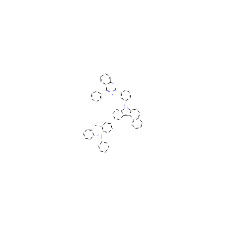 CC1(C)c2ccccc2N(c2ccccc2)c2ccc(-c3ccc4c(c3)c3c5ccccc5ccc3n4-c3cccc(-c4nc(-c5ccccc5)c5ccccc5n4)c3)cc21